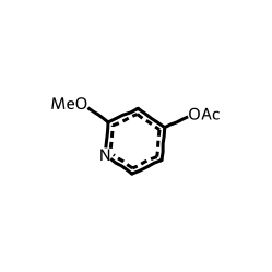 COc1cc(OC(C)=O)ccn1